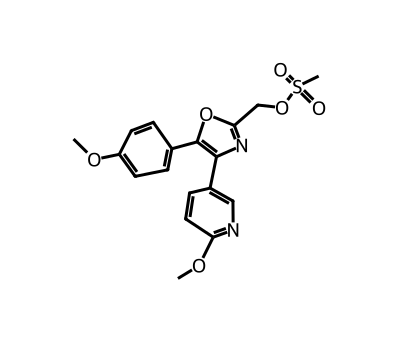 COc1ccc(-c2oc(COS(C)(=O)=O)nc2-c2ccc(OC)nc2)cc1